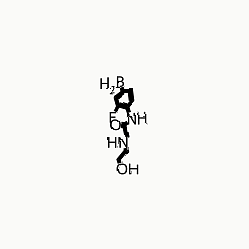 Bc1ccc(NC(=O)CNCCO)c(F)c1